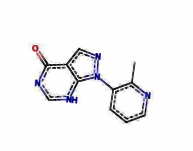 Cc1ncccc1-n1ncc2c(=O)nc[nH]c21